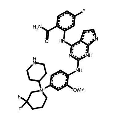 COc1cc([N+]2(C3CCNCC3)CCCC(F)(F)C2)ccc1Nc1nc(Nc2cc(F)ccc2C(N)=O)c2ccnc-2[nH]1